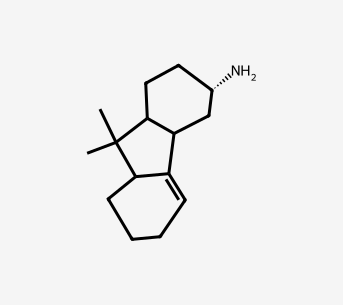 CC1(C)C2CCCC=C2C2C[C@@H](N)CCC21